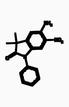 CC1(C)C(=O)N(c2ccccc2)c2cc([N+](=O)[O-])c(N)cc21